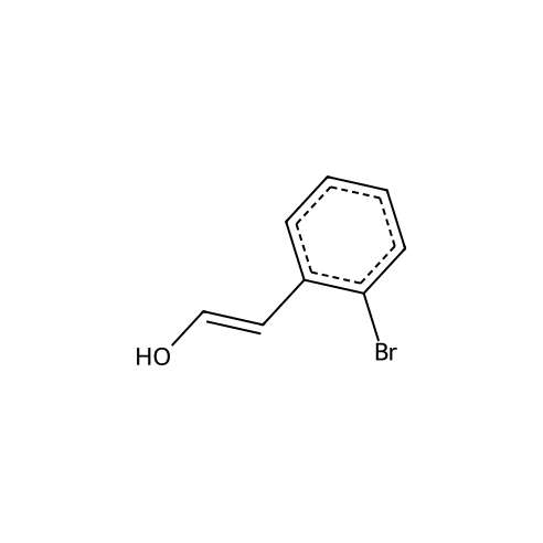 OC=Cc1ccccc1Br